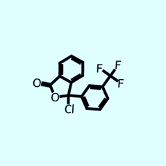 O=C1OC(Cl)(c2cccc(C(F)(F)F)c2)c2ccccc21